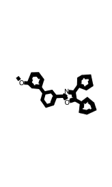 COc1cccc(C2CCC=C(c3nc(-c4ccccc4)c(-c4ccccc4)o3)C2)c1